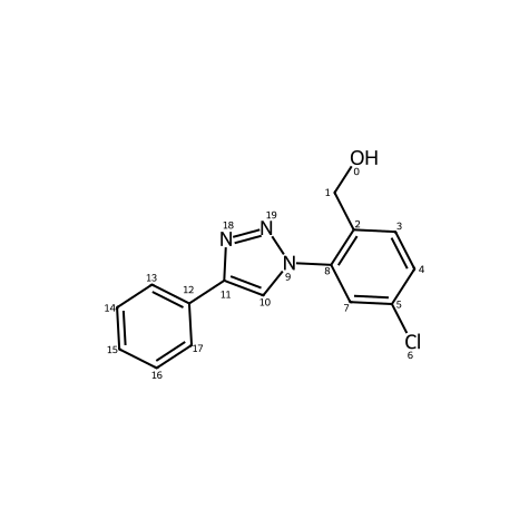 OCc1ccc(Cl)cc1-n1cc(-c2ccccc2)nn1